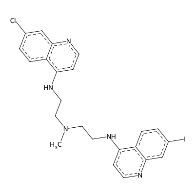 CN(CCNc1ccnc2cc(Cl)ccc12)CCNc1ccnc2cc(I)ccc12